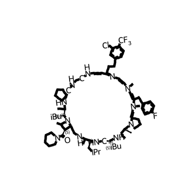 CC[C@H](C)[C@H]1C(C)NC2(CCCC2)CNCCNC=CC(CCc2ccc(C(F)(F)F)c(Cl)c2)=NC=CN(C)C=C(Cc2ccc(F)cc2)N(C)C=C2CCCN2[C@@H](C)C(C)N[C@@H]([C@@H](C)CC)CN[C@@H](CC(C)C)C(C)NCC2[C@@H](C(=O)N3CCCCC3)C(C)N21